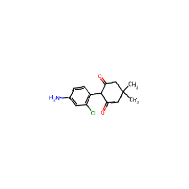 CC1(C)CC(=O)C(c2ccc(N)cc2Cl)C(=O)C1